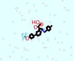 Cc1ccc(Cn2cc(C(=O)C(=O)O)c3cc(-c4ccc(OC(F)(F)F)cc4)ccc32)cc1